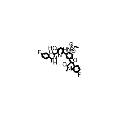 CCS(=O)(=O)Nc1cc2oc(-c3ccc(F)cc3)c(C(=O)NC)c2cc1-c1ccc(O)c(C(=O)NC(C)c2ccc(F)cc2)n1